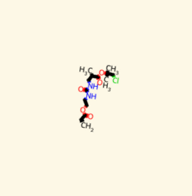 C=CC(=O)OCCNC(=O)NCC(C)C(=O)OC(C)(C)CCl